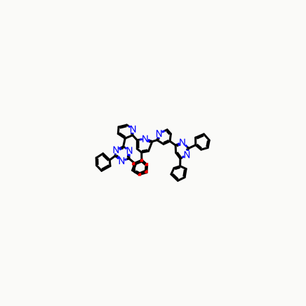 c1ccc(-c2cc(-c3cc(-c4cc(-c5ccccc5)nc(-c5ccccc5)n4)ccn3)nc(-c3ncccc3-c3nc(-c4ccccc4)nc(-c4ccccc4)n3)c2)cc1